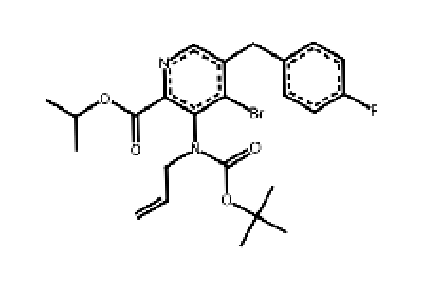 C=CCN(C(=O)OC(C)(C)C)c1c(C(=O)OC(C)C)ncc(Cc2ccc(F)cc2)c1Br